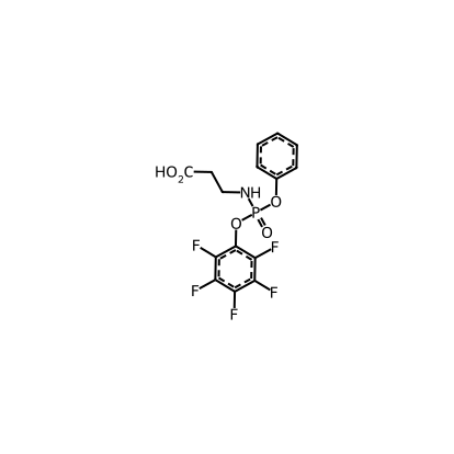 O=C(O)CCNP(=O)(Oc1ccccc1)Oc1c(F)c(F)c(F)c(F)c1F